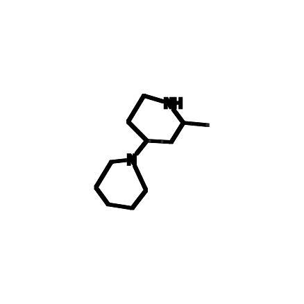 CC1CC(N2CCCCC2)CCN1